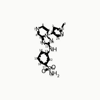 Cn1cc([N+]23C=CN=CC2=NC(Nc2cccc(S(N)(=O)=O)c2)=N3)cn1